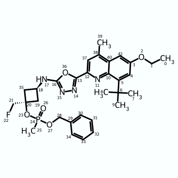 CCOc1cc(C(C)(C)C)c2nc(-c3nnc(N[C@H]4C[C@@](CF)(OP(C)(=O)OCc5ccccc5)C4)o3)cc(C)c2c1